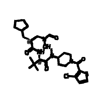 CN(C(=O)[C@@H](NC(=O)[C@H](CC1CCCC1)CN(O)C=O)C(C)(C)C)C1CCN(C(=O)c2sccc2Cl)CC1